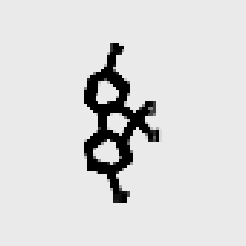 ClC1(Cl)c2cc(Br)ccc2-c2ccc(Br)cc21